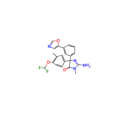 Cc1cc(C2(c3cccc(-c4cnco4)c3)N=C(N)N(C)C2=O)ccc1OC(F)F